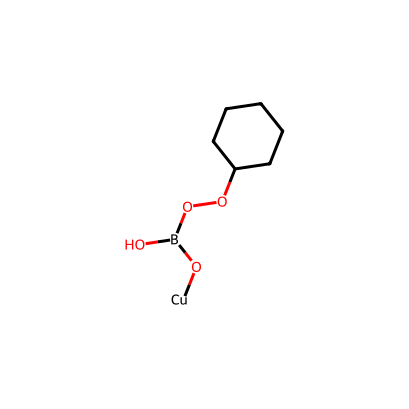 OB([O][Cu])OOC1CCCCC1